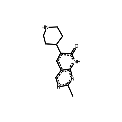 Cc1ncc2cc(C3CCNCC3)c(=O)[nH]c2n1